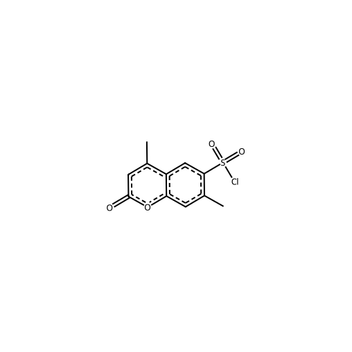 Cc1cc2oc(=O)cc(C)c2cc1S(=O)(=O)Cl